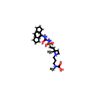 CN(CCCN1CCC1(C)/C=C/S(=O)(=O)NC(=O)Nc1c2c(cc3c1CCC3)CCC2)C(=O)O